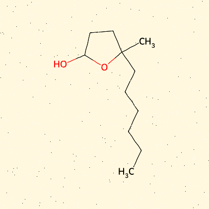 CCCCCCC1(C)CCC(O)O1